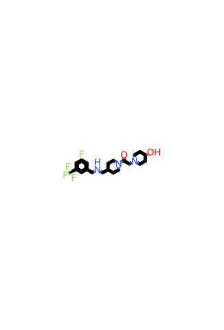 O=C(CN1CCC(O)CC1)N1CCC(CNCc2cc(F)cc(C(F)(F)F)c2)CC1